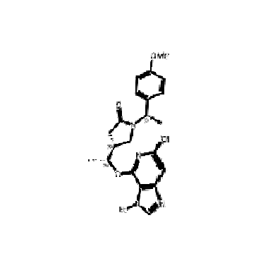 CCn1cnc2cc(Cl)nc(O[C@H](C)[C@@H]3CC(=O)N([C@H](C)c4ccc(OC)cc4)C3)c21